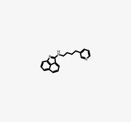 c1cncc(CCCCNC2=Nc3cccc4cccc2c34)c1